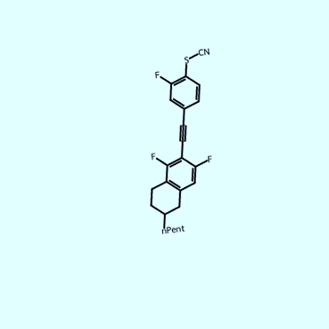 CCCCCC1CCc2c(cc(F)c(C#Cc3ccc(SC#N)c(F)c3)c2F)C1